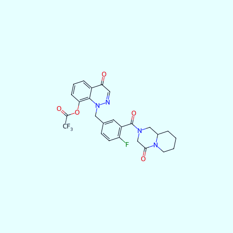 O=C(c1cc(Cn2ncc(=O)c3cccc(OC(=O)C(F)(F)F)c32)ccc1F)N1CC(=O)N2CCCCC2C1